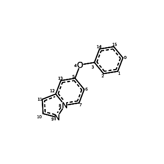 c1ccc(Oc2ccn3nccc3c2)cc1